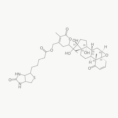 CC1=C(COC(=O)CCCCC2SCC3NC(=O)NC32)CC(C(C)(O)[C@]2(O)CC[C@@]3(O)[C@@H]4C[C@H]5O[C@]56CC=CC(=O)[C@]6(C)[C@H]4CC[C@@]32C)OC1=O